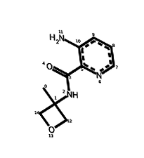 CC1(NC(=O)c2ncccc2N)COC1